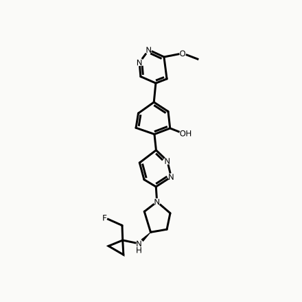 COc1cc(-c2ccc(-c3ccc(N4CC[C@@H](NC5(CF)CC5)C4)nn3)c(O)c2)cnn1